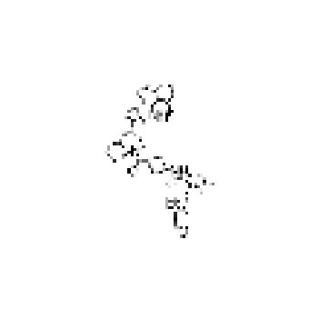 CCC1(CCc2nc(C)ccc2C(=O)Nc2ccc(C(=O)N3CCC(c4ccc(C(=O)C(=N)c5c(F)cccc5F)s4)=Cc4ccccc43)cc2)CCOCC1